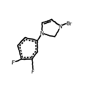 Fc1ccc(N2C=CN(Br)C2)cc1F